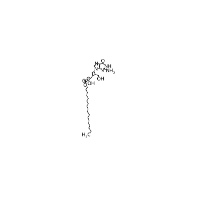 CCCCCCCCCCCCCCCCCCOP(=O)(O)OC[C@H]1C[C@@H](n2cnc3c(=O)[nH]c(N)nc32)[C@H]1CO